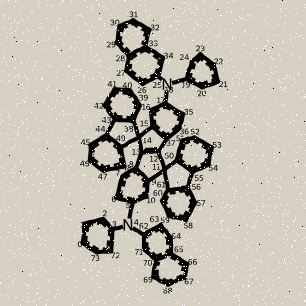 c1ccc(N(c2ccc3c(c2)C2(C4=C3C3(c5cc(N(c6ccccc6)c6ccc7ccccc7c6)ccc54)c4ccccc4-c4ccccc43)c3ccccc3-c3ccccc32)c2ccc3ccccc3c2)cc1